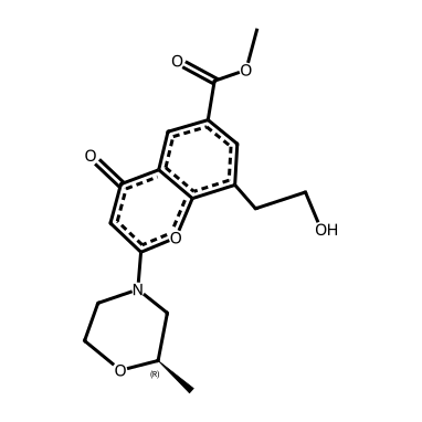 COC(=O)c1cc(CCO)c2oc(N3CCO[C@H](C)C3)cc(=O)c2c1